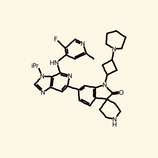 Cc1cc(Nc2nc(-c3ccc4c(c3)N(C3CC(N5CCCCC5)C3)C(=O)C43CCNCC3)cc3ncn(C(C)C)c23)c(F)cn1